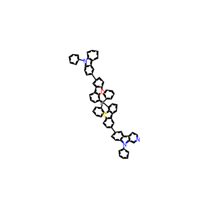 c1ccc(-n2c3ccccc3c3cc(-c4ccc5oc6c([Si](c7ccccc7)(c7ccccc7)c7cccc8c7sc7ccc(-c9ccc%10c(c9)c9ccncc9n%10-c9ccccc9)cc78)cccc6c5c4)ccc32)cc1